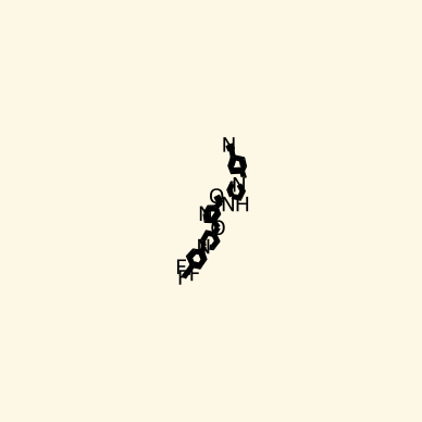 N#Cc1ccc(CN2CCC(NC(=O)c3cncc(OC4CCN(c5ccc(C(F)(F)F)cc5)CC4)c3)CC2)cc1